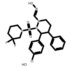 Cl.O=S(=O)(N1CCCC(F)(F)C1)N1C(c2ccc(Cl)cc2)C(c2ccccc2)CCN1C=NO